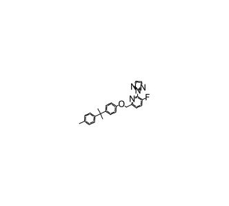 Cc1ccc(C(C)(C)c2ccc(OCc3ccc(F)c(-n4nccn4)n3)cc2)cc1